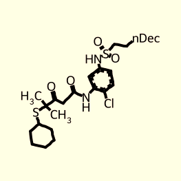 CCCCCCCCCCCCS(=O)(=O)Nc1ccc(Cl)c(NC(=O)CC(=O)C(C)(C)SC2CCCCC2)c1